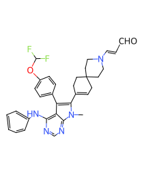 Cn1c(C2=CCC3(CC2)CCN(C=CC=O)CC3)c(-c2ccc(OC(F)F)cc2)c2c(Nc3ccccc3)ncnc21